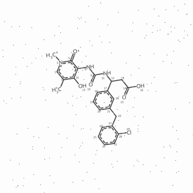 Cc1cn(C)c(=O)c(NC(=O)NC(CC(=O)O)c2cccc(Cc3ccccc3Cl)c2)c1O